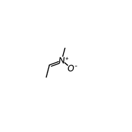 CC=[N+](C)[O-]